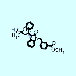 COC(=O)c1cccc(CN2C(=O)/C(=C(/CC(C)(C)C)c3ccccc3)c3ccccc32)c1